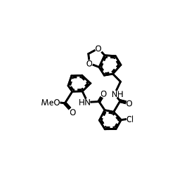 COC(=O)c1ccccc1NC(=O)c1cccc(Cl)c1C(=O)NCc1ccc2c(c1)OCO2